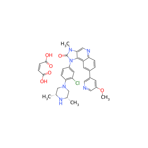 COc1cncc(-c2ccc3ncc4c(c3c2)n(-c2ccc(N3C[C@@H](C)N[C@@H](C)C3)c(Cl)c2)c(=O)n4C)c1.O=C(O)/C=C\C(=O)O